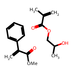 C=C(C(=O)OC)c1ccccc1.C=C(C)C(=O)OCC(C)O